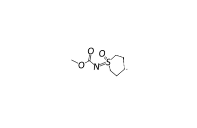 COC(=O)N=S1(=O)CC[CH]CC1